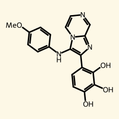 COc1ccc(Nc2c(-c3ccc(O)c(O)c3O)nc3cnccn23)cc1